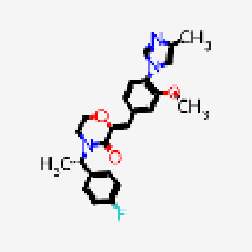 COc1cc(/C=C2\OCCN([C@@H](C)c3ccc(F)cc3)C2=O)ccc1-n1cnc(C)c1